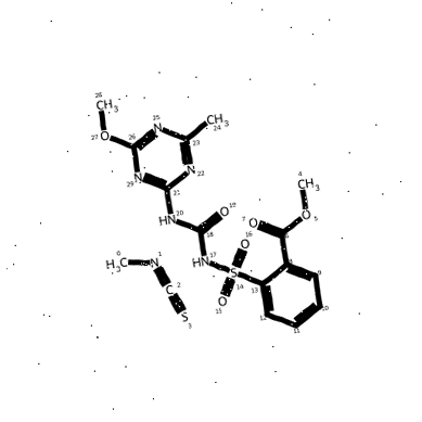 CN=C=S.COC(=O)c1ccccc1S(=O)(=O)NC(=O)Nc1nc(C)nc(OC)n1